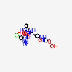 O=C(CCc1ccc(NC(=O)N2CCC(OCCO)CC2)cc1)NC1c2ccccc2NC1(NC(=O)C(=O)Nc1cc(Cl)ccc1-n1cnnn1)C(=O)O